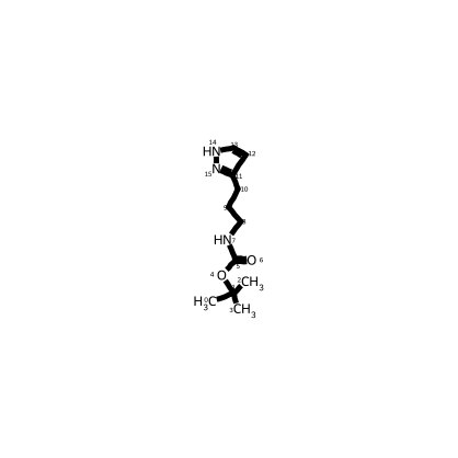 CC(C)(C)OC(=O)NCCCc1cc[nH]n1